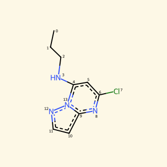 CCCNc1cc(Cl)nc2ccnn12